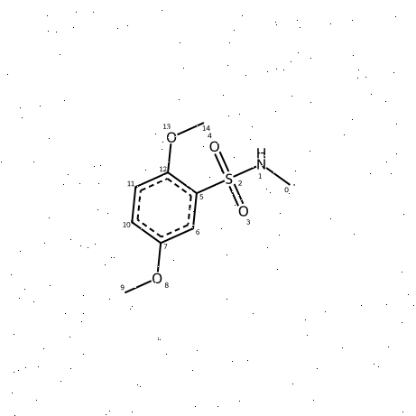 [CH2]NS(=O)(=O)c1cc(OC)ccc1OC